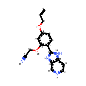 C=CCOc1ccc(-c2nc3cnccc3[nH]2)c(OCC#N)c1